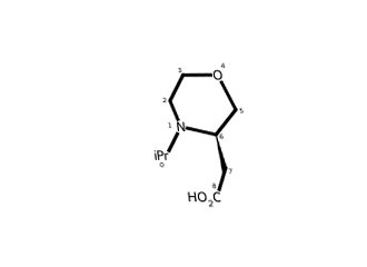 CC(C)N1CCOC[C@H]1CC(=O)O